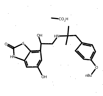 CC(=O)O.CCCCOc1ccc(CC(C)(C)NCC(O)c2cc(O)cc3[nH]c(=O)sc23)cc1